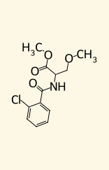 COCC(NC(=O)c1ccccc1Cl)C(=O)OC